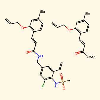 C=CCOc1cc(C(C)(C)C)ccc1C=CC(=O)NCc1cc(F)c(NS(C)(=O)=O)c(C=C)c1.C=CCOc1cc(C(C)(C)C)ccc1C=CC(=O)OC